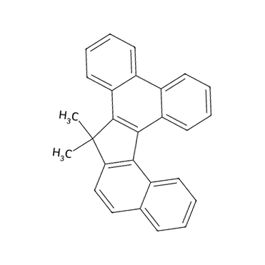 CC1(C)c2ccc3ccccc3c2-c2c1c1ccccc1c1ccccc21